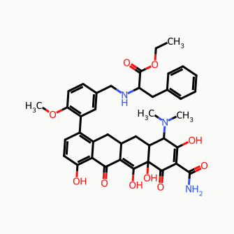 CCOC(=O)C(Cc1ccccc1)NCc1ccc(OC)c(-c2ccc(O)c3c2CC2CC4C(N(C)C)C(O)=C(C(N)=O)C(=O)C4(O)C(O)=C2C3=O)c1